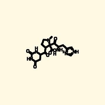 CN1CCC(C(=O)C2CC(=O)NC(=O)N2)C1(C(=O)O)C(=O)C(N)Cc1c[nH]cn1